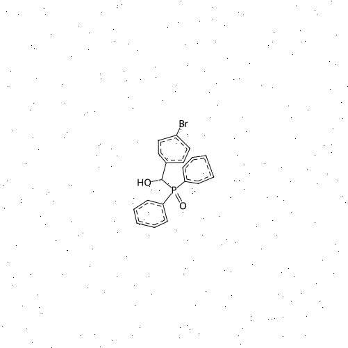 O=P(c1ccccc1)(c1ccccc1)C(O)c1ccc(Br)cc1